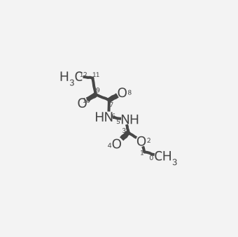 CCOC(=O)NNC(=O)C(=O)CC